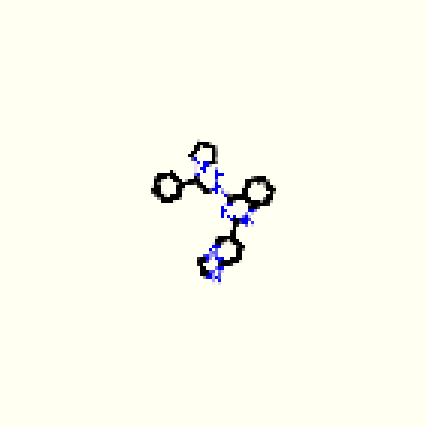 c1ccc(C(CNc2nc(-c3ccc4nccn4c3)nc3ccccc23)N2CCCC2)cc1